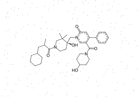 CC(CC1CCCCC1)C(=O)N1CC[C@@](O)(Cn2cc(C(=O)N3CCC(O)CC3)c(-c3ccccc3)cc2=O)C(C)(C)C1